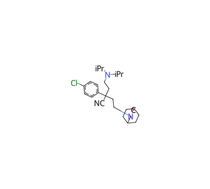 CC(C)N(CCC(C#N)(CCN1CC2CCC(CC2)C1)c1ccc(Cl)cc1)C(C)C